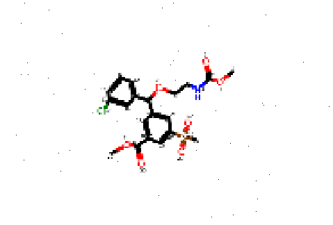 COC(=O)NCCOC(c1cccc(Cl)c1)c1cc(C(=O)OC)cc(S(C)(=O)=O)c1